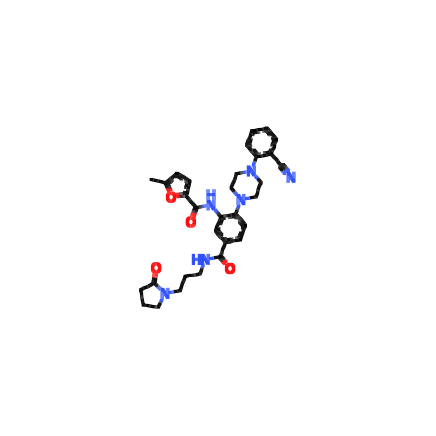 Cc1ccc(C(=O)Nc2cc(C(=O)NCCCN3CCCC3=O)ccc2N2CCN(c3ccccc3C#N)CC2)o1